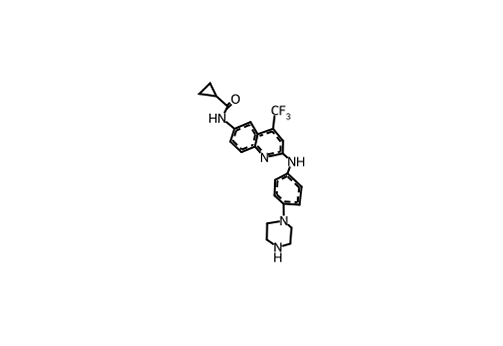 O=C(Nc1ccc2nc(Nc3ccc(N4CCNCC4)cc3)cc(C(F)(F)F)c2c1)C1CC1